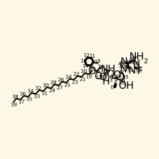 C#C[C@]1(CO[PH](=O)N[C@@H](Cc2ccccc2)C(=O)OCCCCCCCCCCCCCCCCCCCCC)O[C@@H](n2cnc3c(N)nc(F)nc32)C[C@@H]1O